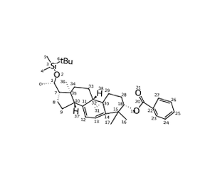 C[C@H](O[Si](C)(C)C(C)(C)C)[C@H]1CC[C@H]2C3=CC=C4C(C)(C)[C@@H](OC(=O)c5ccccc5)CC[C@]4(C)[C@H]3CC[C@]12C